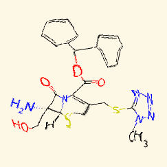 Cn1nnnc1SCC1=C(C(=O)OC(c2ccccc2)c2ccccc2)N2C(=O)[C@](N)(CO)[C@H]2SC1